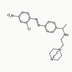 CC(NCC[N+]12CCN(CC1)CC2)c1ccc(N=Nc2ccc([N+](=O)[O-])cc2Cl)cc1